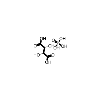 O=C(O)[C@H](O)[C@@H](O)C(=O)O.O=P(O)(O)O